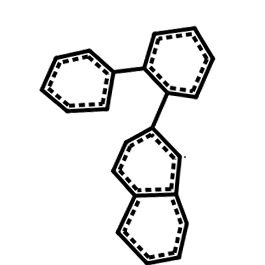 [c]1c(-c2ccccc2-c2ccccc2)ccc2ccccc12